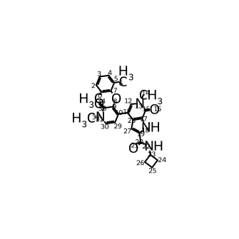 Cc1cccc(C)c1Oc1c(-c2cn(C)c(=O)c3[nH]c(C(=O)NC4CCC4)cc23)ccn(C)c1=O